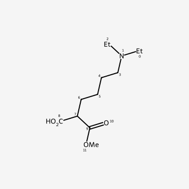 CCN(CC)CCCCC(C(=O)O)C(=O)OC